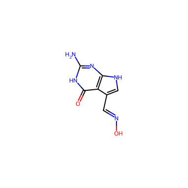 Nc1nc2[nH]cc(/C=N/O)c2c(=O)[nH]1